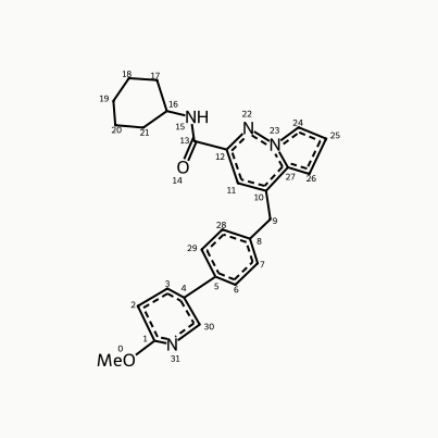 COc1ccc(-c2ccc(Cc3cc(C(=O)NC4CCCCC4)nn4cccc34)cc2)cn1